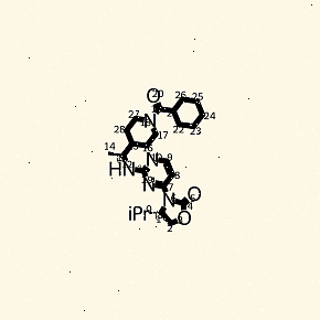 CC(C)[C@H]1COC(=O)N1c1ccnc(N[C@@H](C)C2CCN(C(=O)C3CCCCC3)CC2)n1